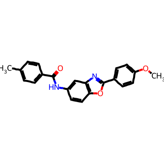 COc1ccc(-c2nc3cc(NC(=O)c4ccc(C)cc4)ccc3o2)cc1